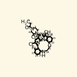 C=CC(=O)N1CCN(c2nc(=O)n3c4nc(c(Cl)cc24)-c2c(F)cccc2NCCOc2cccc(C(C)C)c2-3)[C@@H](C)C1